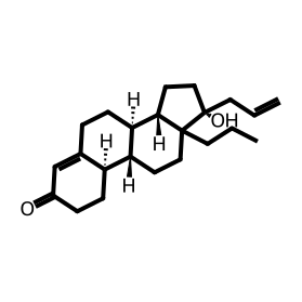 C=CC[C@]1(O)CC[C@H]2[C@@H]3CCC4=CC(=O)CC[C@@H]4[C@H]3CCC21CCC